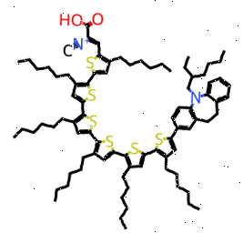 [C-]#[N+]/C(=C\c1sc(-c2sc(-c3sc(-c4sc(-c5sc(-c6sc(-c7ccc8c(c7)CCc7ccccc7N8CC(CC)CCCC)cc6CCCCCC)cc5CCCCCC)cc4CCCCCC)cc3CCCCCC)cc2CCCCCC)cc1CCCCCC)C(=O)O